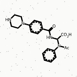 CC(=O)N(c1ccccc1)C(NC(=O)c1ccc(N2CCNCC2)cc1)C(=O)O